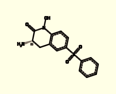 N[C@H]1Cc2cc(S(=O)(=O)c3ccccc3)ccc2N(O)C1=O